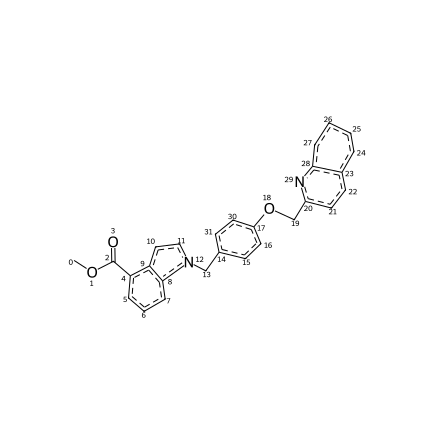 COC(=O)c1cccc2c1ccn2Cc1ccc(OCc2ccc3ccccc3n2)cc1